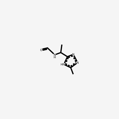 Cc1nnc(C(C)NC=O)[nH]1